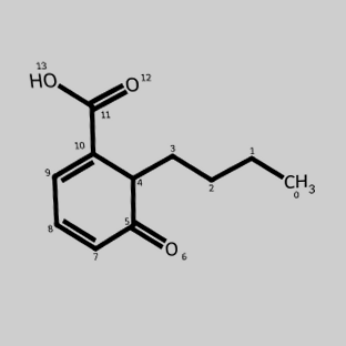 CCCCC1C(=O)C=CC=C1C(=O)O